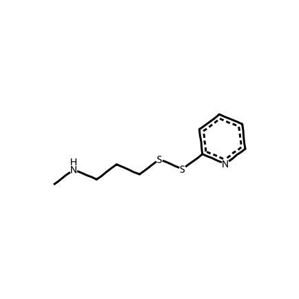 CNCCCSSc1ccccn1